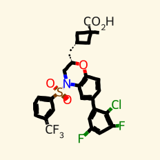 C[C@]1(C(=O)O)C[C@H](C[C@H]2CN(S(=O)(=O)c3cccc(C(F)(F)F)c3)c3cc(-c4cc(F)cc(F)c4Cl)ccc3O2)C1